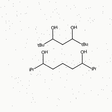 CC(C)(C)C(O)CC(O)C(C)(C)C.CC(C)C(O)CCCC(O)C(C)C